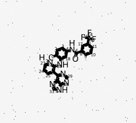 Cc1ccc(NC(=O)c2cccc(C(F)(F)F)c2)cc1Nc1ncccc1-c1ncnc2[nH]cnc12